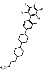 [2H]c1c(F)c(F)c(F)c([2H])c1-c1ccc(C2CCC(C3CCC(CCCC)CC3)CC2)cc1F